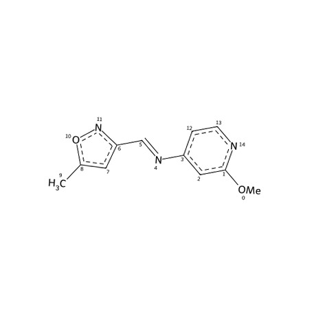 COc1cc(N=Cc2cc(C)on2)ccn1